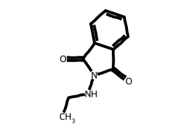 CCNN1C(=O)c2ccccc2C1=O